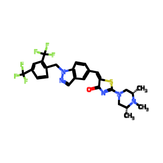 C[C@@H]1CN(C2=NC(=O)C(=Cc3ccc4c(cnn4Cc4ccc(C(F)(F)F)cc4C(F)(F)F)c3)S2)C[C@H](C)N1C